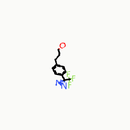 O=CCCc1ccc(C2(C(F)(F)F)N=N2)cc1